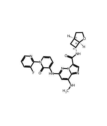 CNc1cc(Nc2cccn(-c3ncccc3F)c2=O)nn2c(C(=O)N[C@@H]3C[C@H]4CCO[C@H]43)cnc12